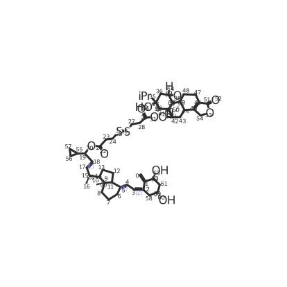 C=C1/C(=C\C=C2/CCC[C@@]3(C)C2CCC3[C@@H](C)/C=C/C(OC(=O)CCSSCCC(=O)O[C@@H]2C(O)(C(C)C)C[C@@H]3O[C@]34[C@]23O[C@H]3CC2C3=C(CC[C@@]24C)C(=O)OC3)C2CC2)C[C@@H](O)C[C@@H]1O